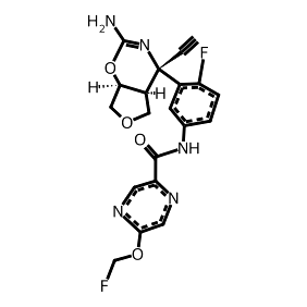 C#C[C@]1(c2cc(NC(=O)c3cnc(OCF)cn3)ccc2F)N=C(N)O[C@@H]2COC[C@@H]21